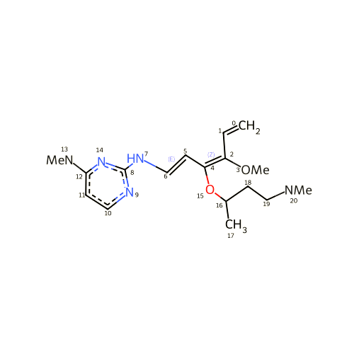 C=C/C(OC)=C(\C=C\Nc1nccc(NC)n1)OC(C)CCNC